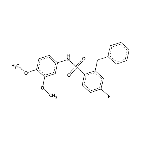 COc1ccc(NS(=O)(=O)c2ccc(F)cc2Cc2ccccc2)cc1OC